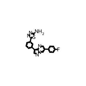 Nc1nnc(-c2cccc(-c3cnn4cc(-c5ccc(F)cc5)cnc34)c2)s1